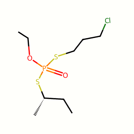 CCOP(=O)(SCCCCl)S[C@@H](C)CC